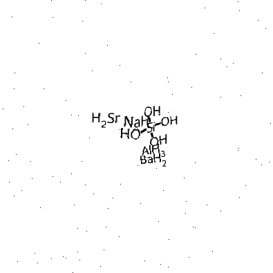 O[Si](O)(O)O.[AlH3].[BaH2].[NaH].[SrH2]